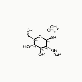 O.O.OC[C@H]1O[C@@H](S)[C@H](O)[C@@H](O)[C@@H]1O.[NaH]